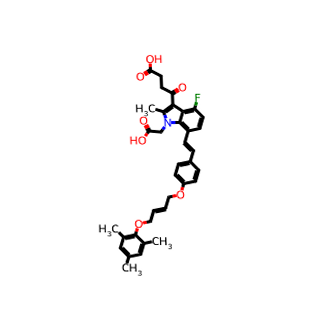 Cc1cc(C)c(OCC=CCOc2ccc(C=Cc3ccc(F)c4c(C(=O)CCC(=O)O)c(C)n(CC(=O)O)c34)cc2)c(C)c1